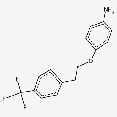 Nc1ccc(OCCc2ccc(C(F)(F)F)cc2)cc1